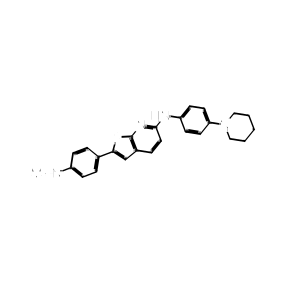 CNc1ccc(-c2cc3ccc(Nc4ccc(N5CCCCC5)cc4)nc3s2)cc1